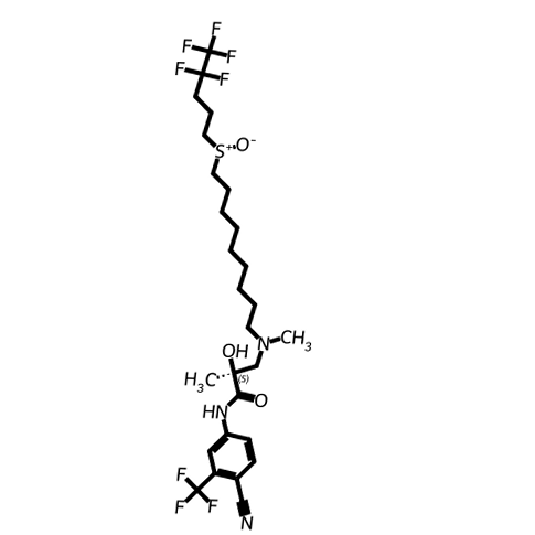 CN(CCCCCCCCC[S+]([O-])CCCC(F)(F)C(F)(F)F)C[C@](C)(O)C(=O)Nc1ccc(C#N)c(C(F)(F)F)c1